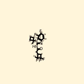 CC1(n2c(NC(=O)CC3CC(F)(F)C3(C)F)nc3ccc(F)c(F)c32)CCC1